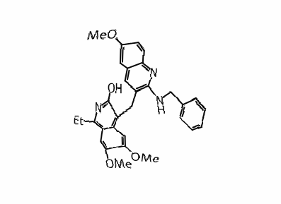 CCc1nc(O)c(Cc2cc3cc(OC)ccc3nc2NCc2ccccc2)c2cc(OC)c(OC)cc12